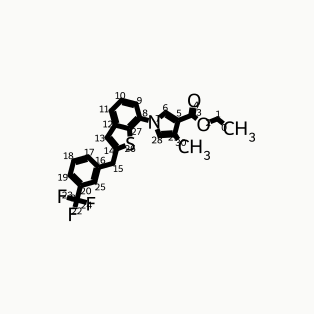 CCOC(=O)c1cn(-c2cccc3cc(Cc4cccc(C(F)(F)F)c4)sc23)cc1C